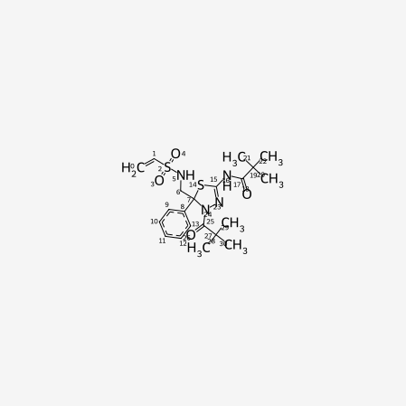 C=CS(=O)(=O)NCC1(c2ccccc2)SC(NC(=O)C(C)(C)C)=NN1C(=O)C(C)(C)C